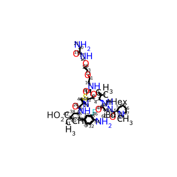 C=C(C)[C@@H](C[C@@H](OC(=O)NCCOCCOCNC(=O)CN)c1nc(C(=O)N[C@@H](Cc2ccc(N)c(F)c2)CC(C)(C)C(=O)O)cs1)N(CCCCCC)C(=O)[C@@H](NC(=O)[C@H]1CCCCN1C)[C@@H](C)CC